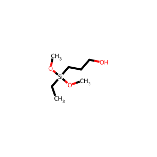 CC[Si](CCCO)(OC)OC